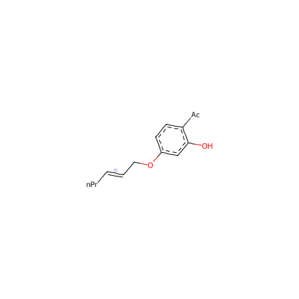 CCC/C=C/COc1ccc(C(C)=O)c(O)c1